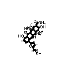 CN(C)[C@@H]1C(O)=C(C(N)=O)C(=O)[C@]2(O)C(O)=C3C(=O)c4c(O)ccc(-c5ccc(/C=N/O)o5)c4C[C@@H]3C[C@@H]12